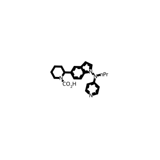 CCCN(c1ccncc1)n1ccc2cc(C3CCCCN3C(=O)O)ccc21